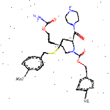 COc1ccc(CS[C@]2(CCOC(N)=O)C[C@@H](C(=O)N3CCNCC3)N(C(=O)OCc3ccc([N+](=O)[O-])cc3)C2)cc1